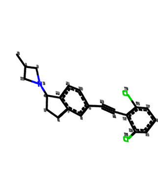 CC1CN(C2CCc3cc(C#Cc4c(Cl)cccc4Cl)ccc32)C1